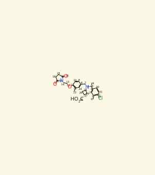 Cc1cc([C@H](C)N(Cc2ccc(OCCN3C(=O)CCC3=O)c(C)c2)[C@H]2C[C@@H](C(=O)O)C2)ccc1Cl